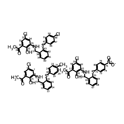 CC(=O)c1cc(Cl)cc(NCc2ccccc2Sc2ccc(C)cc2)c1O.CC(=O)c1cc(Cl)cc(NCc2ccccc2Sc2ccc(Cl)cc2)c1O.CC(=O)c1cc(Cl)cc(NCc2ccccc2Sc2ccc([N+](=O)[O-])cc2)c1O